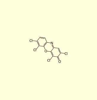 O=c1c(Cl)cc2nc3ccc(Cl)c(Cl)c3oc-2c1Cl